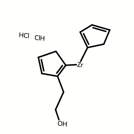 Cl.Cl.OCCC1=[C]([Zr][C]2=CC=CC2)CC=C1